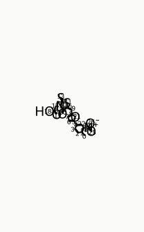 Cc1ccc(-c2ccc(/C=C3/SC(=S)N(CC(=O)O)C3=O)o2)cc1[N+](=O)[O-]